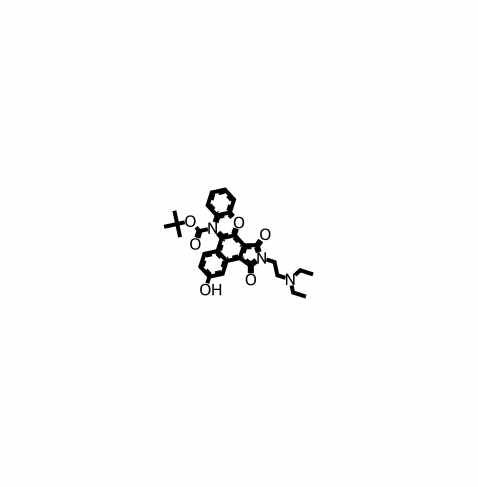 CCN(CC)CCn1c(=O)c2c3cc(O)ccc3c3c(oc4ccccc4n3C(=O)OC(C)(C)C)c2c1=O